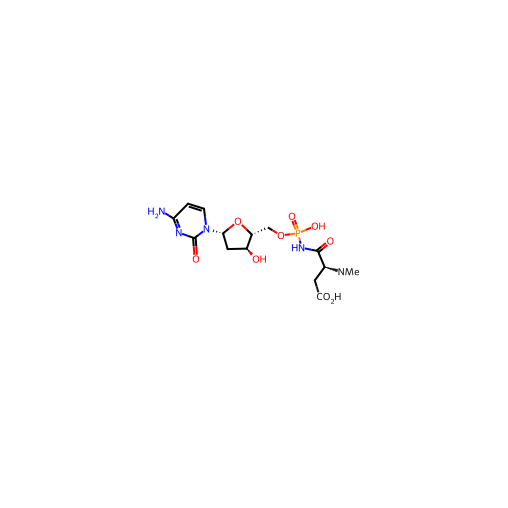 CN[C@@H](CC(=O)O)C(=O)NP(=O)(O)OC[C@H]1O[C@@H](n2ccc(N)nc2=O)C[C@@H]1O